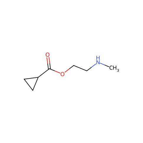 CNCCOC(=O)C1CC1